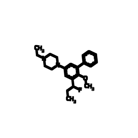 CCC(F)c1cc(N2CCN(CC)CC2)cc(-c2ccccc2)c1OC